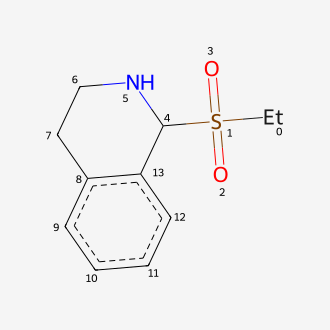 CCS(=O)(=O)C1NCCc2ccccc21